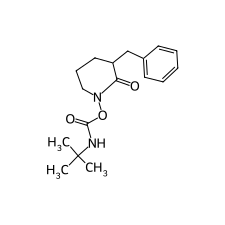 CC(C)(C)NC(=O)ON1CCCC(Cc2ccccc2)C1=O